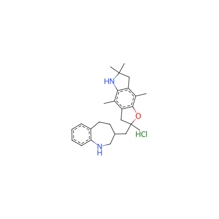 Cc1c2c(c(C)c3c1NC(C)(C)C3)OC(C)(CC1CCc3ccccc3NC1)C2.Cl